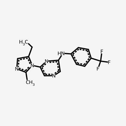 CCc1cnc(C)n1-c1cncc(Nc2ccc(C(F)(F)F)cc2)n1